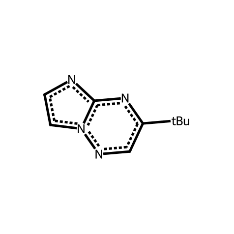 CC(C)(C)c1cnn2ccnc2n1